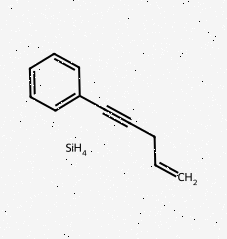 C=CCC#Cc1ccccc1.[SiH4]